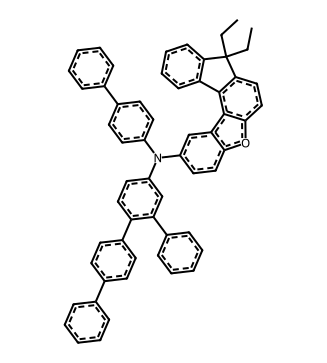 CCC1(CC)c2ccccc2-c2c1ccc1oc3ccc(N(c4ccc(-c5ccccc5)cc4)c4ccc(-c5ccc(-c6ccccc6)cc5)c(-c5ccccc5)c4)cc3c21